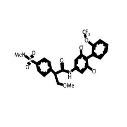 CNS(=O)(=O)c1ccc(C(COC)C(=O)Nc2cc(Cl)c(-c3ccccc3OC(F)(F)F)c(Cl)c2)cc1